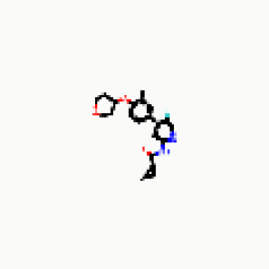 Cc1cc(-c2cc(NC(=O)C3CC3)ncc2F)ccc1OC1CCOCC1